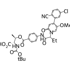 CCC(C(=O)Nc1ccc(C(=O)O[C@H](C)[C@H](NC(=O)OC(C)(C)C)C(=O)O)cc1)n1cc(OC)c(-c2cc(Cl)ccc2C#N)cc1=O